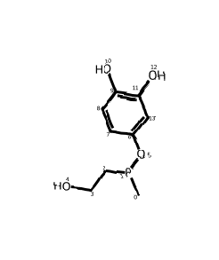 CP(CCO)Oc1ccc(O)c(O)c1